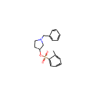 Cc1ccccc1S(=O)(=O)OC1CCN(Cc2ccccc2)C1